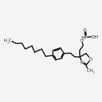 CCCCCCCCc1ccc(CCC2(CCO[PH](=O)O)COC(C)=N2)cc1